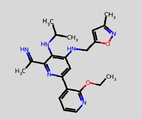 CCOc1ncccc1-c1cc(NCc2cc(C)no2)c(NC(C)C)c(C(C)=N)n1